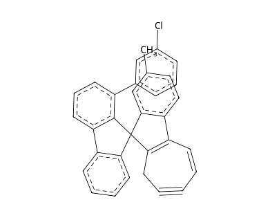 Cc1ccc2c(c1)C1(C3=C2C=CC#CC3)c2ccccc2-c2cccc(-c3cccc(Cl)c3)c21